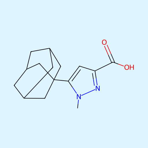 Cn1nc(C(=O)O)cc1C12CC3CC(CC(C3)C1)C2